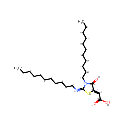 CCCCCCCCCCC/N=C1/S/C(=C\C(=O)O)C(=O)N1CCCCCCCCCCC